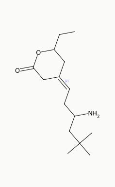 CCC1C/C(=C/CC(N)CC(C)(C)C)CC(=O)O1